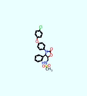 CS(=O)(=O)NCC1OC(=O)N(c2ccc(Oc3ccc(Cl)cc3)cc2)C1c1ccccc1